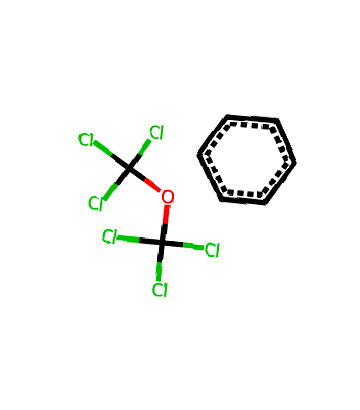 ClC(Cl)(Cl)OC(Cl)(Cl)Cl.c1ccccc1